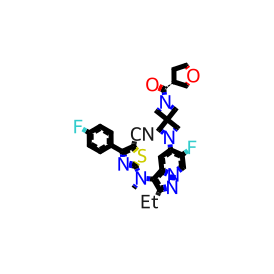 CCc1nn2cc(F)c(N3CC4(CN(C(=O)[C@@H]5CCOC5)C4)C3)cc2c1N(C)c1nc(-c2ccc(F)cc2)c(C#N)s1